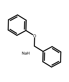 [NaH].c1ccc(COc2ccccc2)cc1